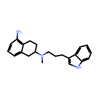 CN(CCCc1c[nH]c2ccccc12)C1CCc2c(N)cccc2C1